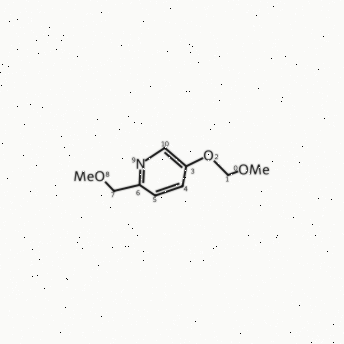 COCOc1ccc(COC)nc1